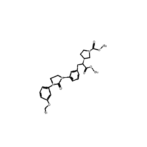 [3H]COc1cccc(N2CCN(c3cccc(CC(C(=O)OC(C)(C)C)[C@H]4CCN(C(=O)OC(C)(C)C)C4)c3)C2=O)c1